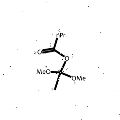 CCCC(=O)OC(C)(OC)OC